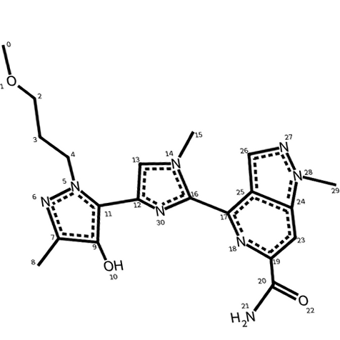 COCCCn1nc(C)c(O)c1-c1cn(C)c(-c2nc(C(N)=O)cc3c2cnn3C)n1